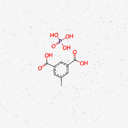 Cc1cc(C(=O)O)cc(C(=O)O)c1.O=P(O)(O)O